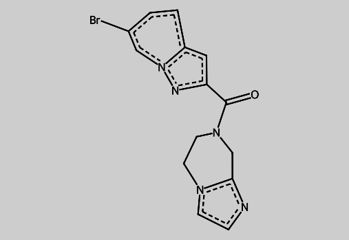 O=C(c1cc2ccc(Br)cn2n1)N1CCn2ccnc2C1